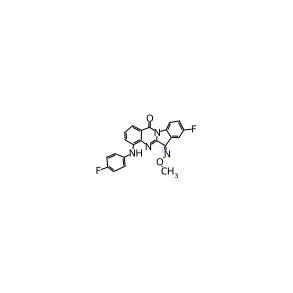 CO/N=C1/c2cc(F)ccc2-n2c1nc1c(Nc3ccc(F)cc3)cccc1c2=O